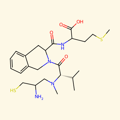 CSCCC(NC(=O)C1Cc2ccccc2CN1C(=O)[C@H](C(C)C)N(C)CC(N)CS)C(=O)O